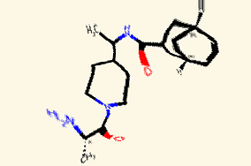 CC(NC(=O)C1C[C@@H]2C=C[C@H]1C2)C1CCN(C(=O)[C@H](C)N)CC1